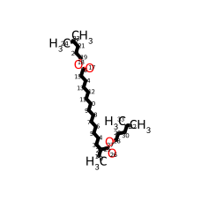 CCC(CCCCCCCCCCCCCC(=O)OCCCC(C)C)C(=O)OCCCC(C)C